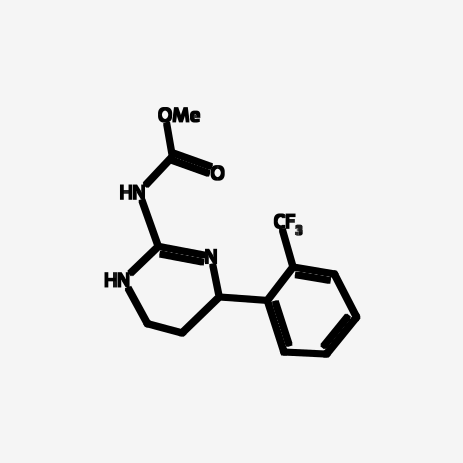 COC(=O)NC1=NC(c2ccccc2C(F)(F)F)CCN1